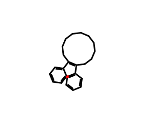 c1ccc(C2=C(c3ccccc3)CCCCCCCCCC2)cc1